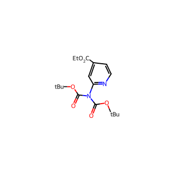 CCOC(=O)c1ccnc(N(C(=O)OC(C)(C)C)C(=O)OC(C)(C)C)c1